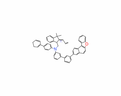 C=C/C=C1\C(CN(c2ccc(C3=CCCC=C3)cc2)c2cccc(-c3cccc(-c4ccc5c(ccc6oc7ccccc7c65)c4)c3)c2)c2ccccc2C1(C)C